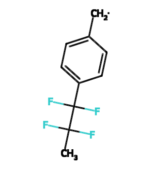 [CH2]c1ccc(C(F)(F)C(C)(F)F)cc1